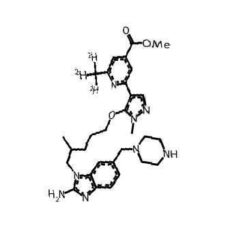 [2H]C([2H])([2H])c1cc(C(=O)OC)cc(-c2cnn(C)c2OCCCC(C)Cn2c(N)nc3ccc(CN4CCNCC4)cc32)n1